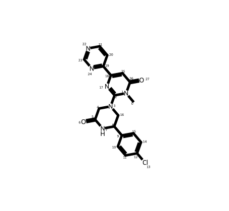 Cn1c(N2CC(=O)NC(c3ccc(Cl)cc3)C2)nc(-c2ccncn2)cc1=O